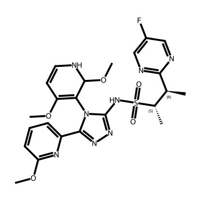 COC1=C(n2c(NS(=O)(=O)[C@@H](C)[C@H](C)c3ncc(F)cn3)nnc2-c2cccc(OC)n2)C(OC)NC=C1